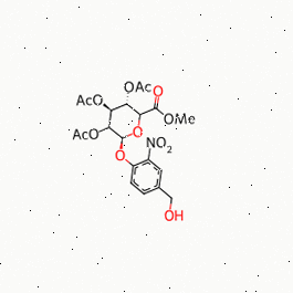 COC(=O)C1O[C@@H](Oc2ccc(CO)cc2[N+](=O)[O-])C(OC(C)=O)[C@@H](OC(C)=O)[C@@H]1OC(C)=O